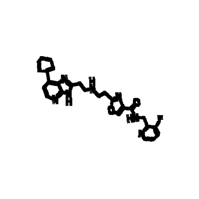 O=C(NCc1ncccc1F)c1coc(CCNCCc2nc3c(-c4ccccc4)ccnc3[nH]2)n1